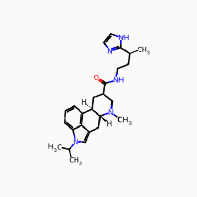 CC(CCNC(=O)C1C[C@@H]2c3cccc4c3c(cn4C(C)C)C[C@H]2N(C)C1)c1ncc[nH]1